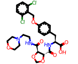 O=C(O)[C@H](Cc1ccc(OCc2c(Cl)cccc2Cl)cc1)NC(=O)[C@@H]1OCO[C@H]1C(=O)NCCN1CCOCC1